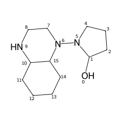 OC1CCCN1N1CCNC2CCCCC21